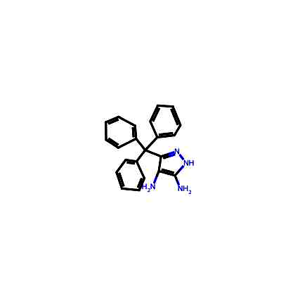 Nc1[nH]nc(C(c2ccccc2)(c2ccccc2)c2ccccc2)c1N